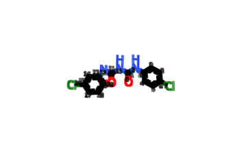 O=C(Nc1ccc(Cl)cc1)Nc1nc2cc(Cl)ccc2o1